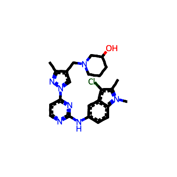 Cc1nn(-c2ccnc(Nc3ccc4c(c3)c(Cl)c(C)n4C)n2)cc1CN1CCCC(O)C1